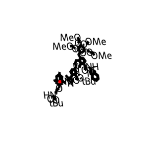 COCOC[C@@H]1OC(Cc2ccc(C(=O)Nc3nc4ccccc4s3)c3c2CCN(c2ccc(-c4cnn(CC56CC7(C)CC(C)(C5)CC(OCCNC(=O)OC(C)(C)C)(C7)C6)c4C)c(C(=O)OC(C)(C)C)n2)C3)[C@@H](OCOC)[C@H](OCOC)[C@H]1OCOC